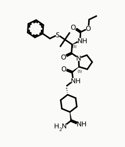 CCOC(=O)N[C@@H](C(=O)N1CCC[C@H]1C(=O)NC[C@H]1CC[C@H](C(=N)N)CC1)C(C)(C)SCc1ccccc1